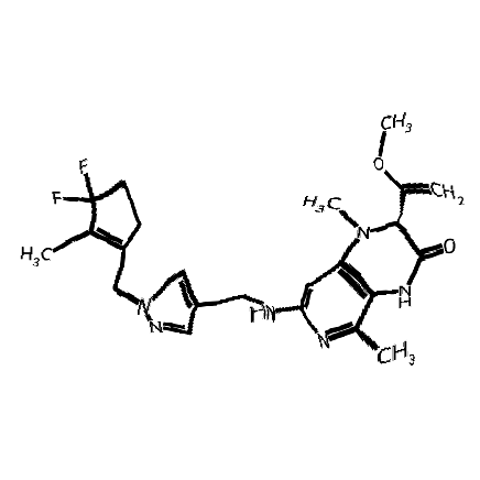 C=C(OC)[C@H]1C(=O)Nc2c(cc(NCc3cnn(CC4=C(C)C(F)(F)CC4)c3)nc2C)N1C